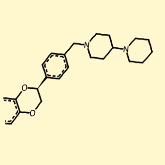 c1ccc2c(c1)OC[C@H](c1ccc(CN3CCC(N4CCCCC4)CC3)cc1)O2